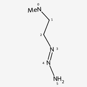 CNCCN=NN